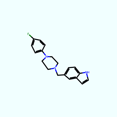 Fc1ccc(N2CCN(Cc3ccc4[nH]ccc4c3)CC2)cc1